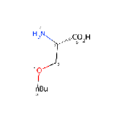 CCCCOC[C@H](N)C(=O)O